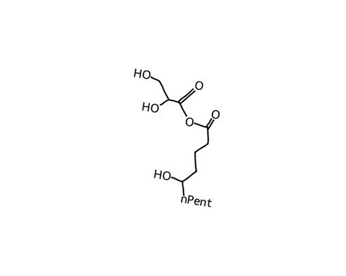 CCCCCC(O)CCCC(=O)OC(=O)C(O)CO